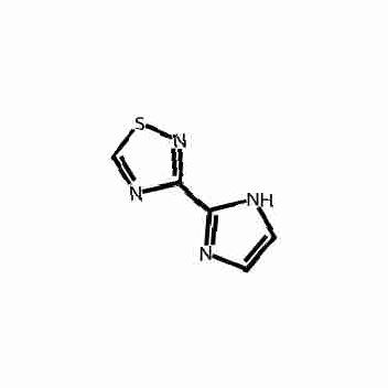 c1c[nH]c(-c2ncsn2)n1